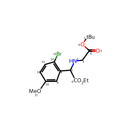 CCOC(=O)C(NCC(=O)OC(C)(C)C)c1cc(OC)ccc1Br